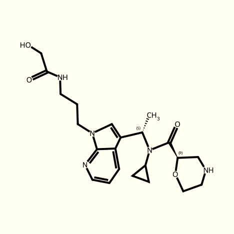 C[C@@H](c1cn(CCCNC(=O)CO)c2ncccc12)N(C(=O)[C@H]1CNCCO1)C1CC1